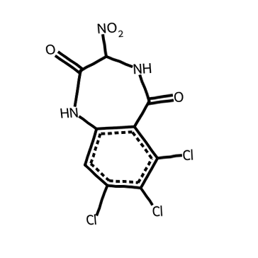 O=C1NC([N+](=O)[O-])C(=O)Nc2cc(Cl)c(Cl)c(Cl)c21